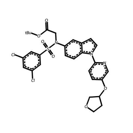 CC(C)(C)OC(=O)CN(c1ccc2c(ccn2-c2ccc(OC3CCOC3)cn2)c1)S(=O)(=O)c1cc(Cl)cc(Cl)c1